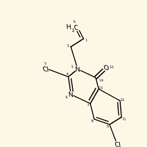 C=CCn1c(Cl)nc2cc(Cl)ccc2c1=O